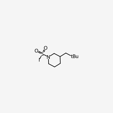 CC(C)(C)CC1CCCN(S(=O)(=O)I)C1